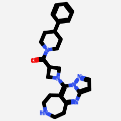 O=C(C1CN(c2c3c(nc4ccnn24)CCNCC3)C1)N1CCC(c2ccccc2)CC1